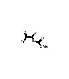 CCC(=O)C(NC(=O)OC)C(C)C